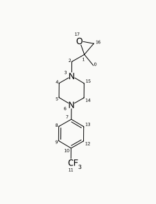 CC1(CN2CCN(c3ccc(C(F)(F)F)cc3)CC2)CO1